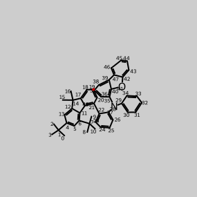 CC(C)(C)c1cc(C(C)(C)C)c2c(c1)C(C)(C)c1cccc(-c3ccccc3N(c3ccccc3)c3cccc4c3oc3ccccc34)c1-2